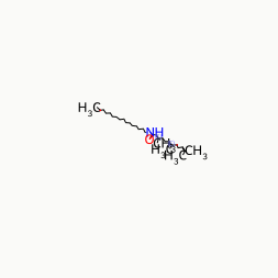 CCCCCCCCCCCCCCCCNC(=O)/C=C(\C)CC/C=C(\C)CCC=C(C)C